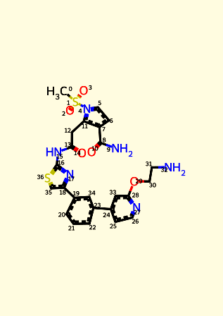 CS(=O)(=O)n1ccc(C(N)=O)c1CC(=O)Nc1nc(-c2cccc(-c3ccnc(OCCN)c3)c2)cs1